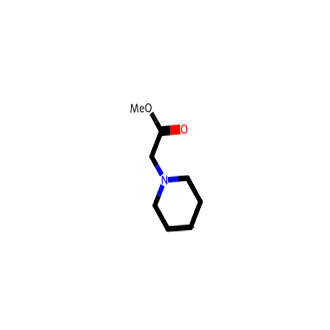 COC(=O)CN1CC[CH]CC1